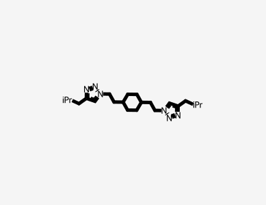 CC(C)Cc1cn(CCC2CCC(CCn3cc(CC(C)C)nn3)CC2)nn1